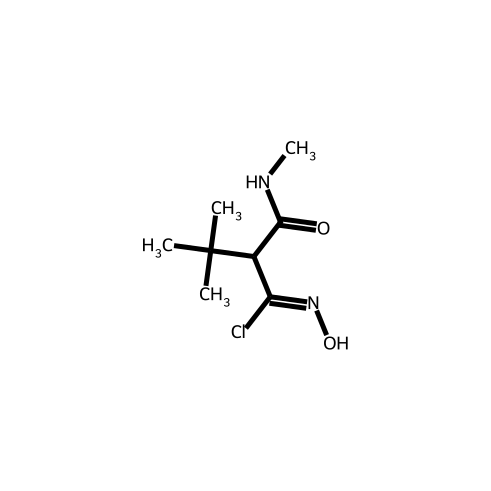 CNC(=O)C(/C(Cl)=N/O)C(C)(C)C